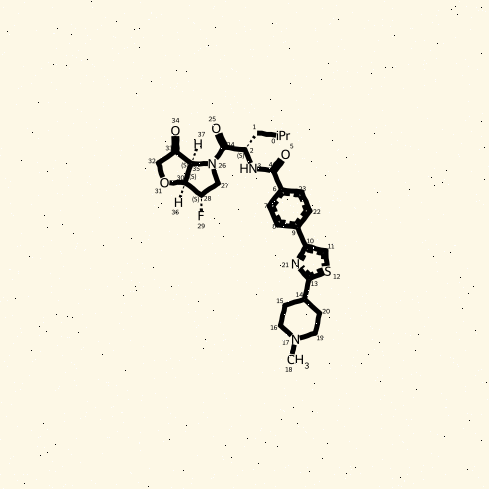 CC(C)C[C@H](NC(=O)c1ccc(-c2csc(C3CCN(C)CC3)n2)cc1)C(=O)N1C[C@H](F)[C@H]2OCC(=O)[C@H]21